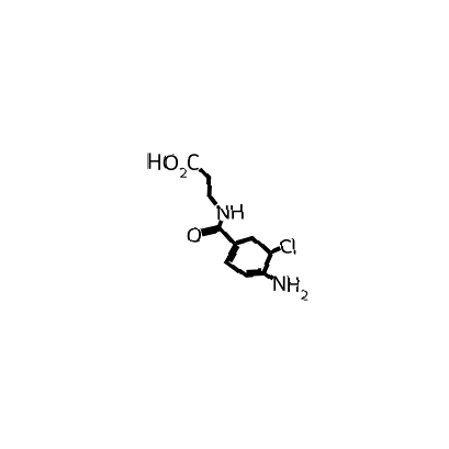 NC1=CC=C(C(=O)NCCC(=O)O)CC1Cl